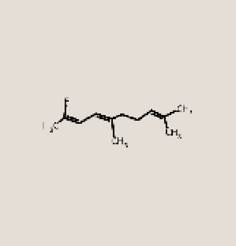 CC(C)=CCC/C(C)=C/C=C(/C)F